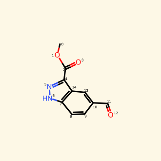 COC(=O)c1n[nH]c2ccc(C=O)cc12